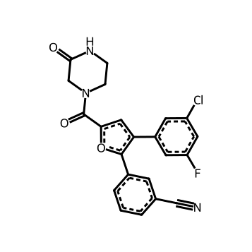 N#Cc1cccc(-c2oc(C(=O)N3CCNC(=O)C3)cc2-c2cc(F)cc(Cl)c2)c1